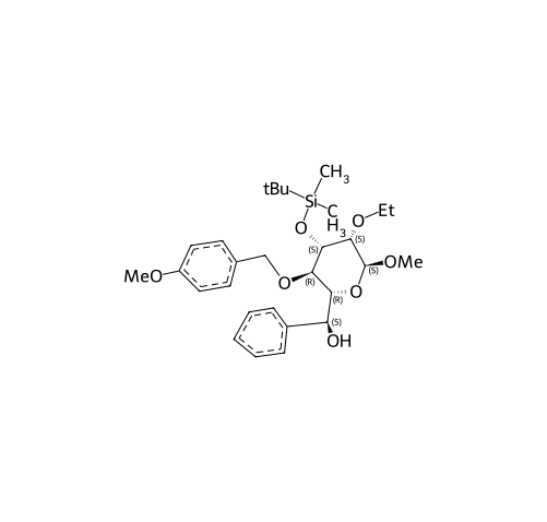 CCO[C@@H]1[C@@H](OC)O[C@H]([C@@H](O)c2ccccc2)[C@@H](OCc2ccc(OC)cc2)[C@@H]1O[Si](C)(C)C(C)(C)C